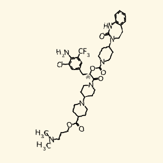 CN(C)CCCOC(=O)C1CCN(C2CCN(C(=O)[C@@H](Cc3cc(Cl)c(N)c(C(F)(F)F)c3)OC(=O)N3CCC(N4CCc5ccccc5NC4=O)CC3)CC2)CC1